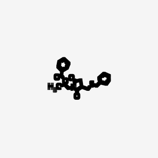 CC(CN1C(=O)CC(CSCc2ccccc2)C1=O)OC(=O)c1ccccc1